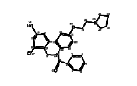 O=C(c1ccccc1)N(Cc1ccc(O)cc1Cl)c1ccc(OCCN2CCCC2)cc1